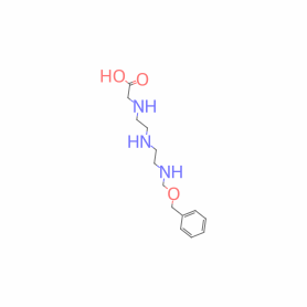 O=C(O)CNCCNCCNCOCc1ccccc1